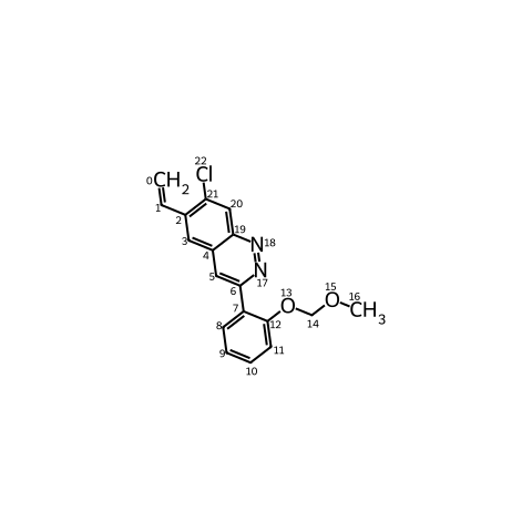 C=Cc1cc2cc(-c3ccccc3OCOC)nnc2cc1Cl